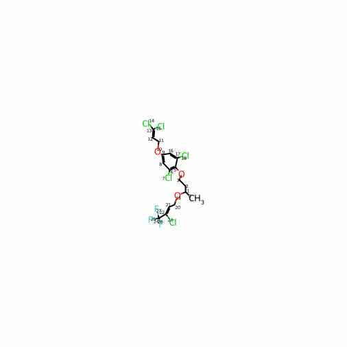 CC(CCOc1c(Cl)cc(OCC=C(Cl)Cl)cc1Cl)OCC=C(Cl)C(F)(F)F